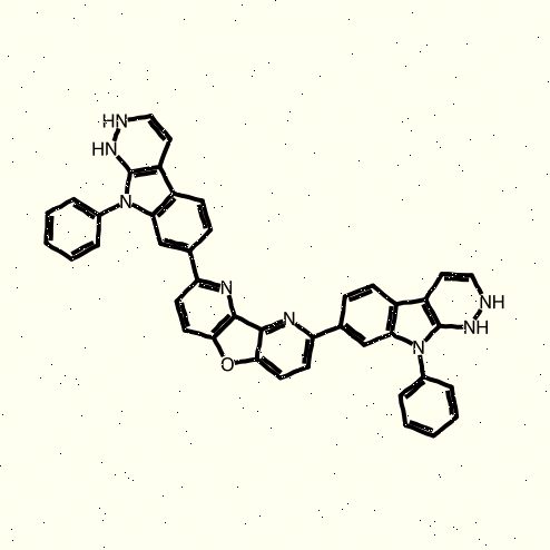 C1=Cc2c(n(-c3ccccc3)c3cc(-c4ccc5oc6ccc(-c7ccc8c9c(n(-c%10ccccc%10)c8c7)NNC=C9)nc6c5n4)ccc23)NN1